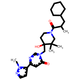 CC(CC1CCCCC1)C(=O)N1CCC(O)(Cn2cnc(-c3ccnn3C)cc2=O)C(C)(C)C1